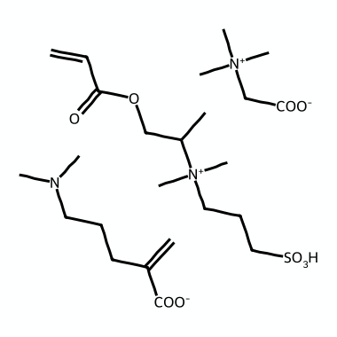 C=C(CCCN(C)C)C(=O)[O-].C=CC(=O)OCC(C)[N+](C)(C)CCCS(=O)(=O)O.C[N+](C)(C)CC(=O)[O-]